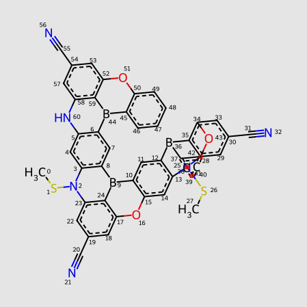 CSN1c2cc3c(cc2B2c4cc5c(cc4Oc4cc(C#N)cc1c42)N(SC)c1cc(C#N)cc2c1B5c1ccccc1O2)B1c2ccccc2Oc2cc(C#N)cc(c21)N3